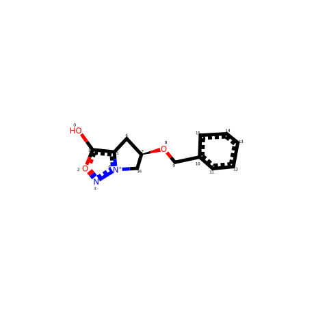 Oc1on[n+]2c1C[C@@H](OCc1ccccc1)C2